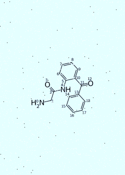 NCC(=O)Nc1ccccc1C(=O)c1ccccc1